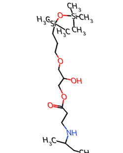 CCC(C)NCCC(=O)OCC(O)COCCC[Si](C)(C)O[Si](C)(C)C